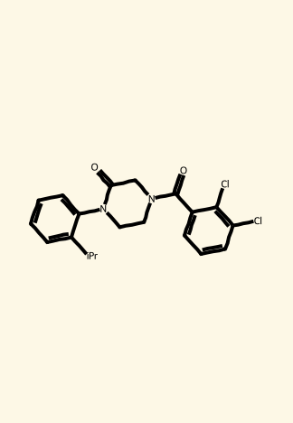 CC(C)c1ccccc1N1CCN(C(=O)c2cccc(Cl)c2Cl)CC1=O